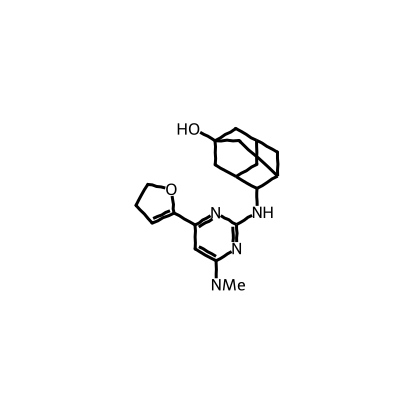 CNc1cc(C2=CCCO2)nc(NC2C3CC4CC2CC(O)(C4)C3)n1